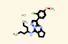 CCCC(CCC)Nc1c2c(nc3c(-c4ccc(OC)cc4Cl)cnn13)CCC2.Cl